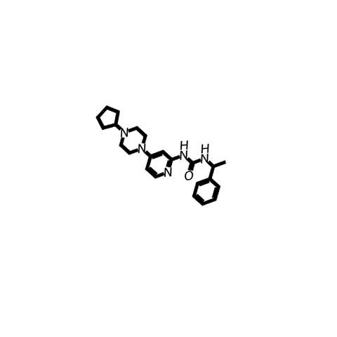 CC(NC(=O)Nc1cc(N2CCN(C3CCCC3)CC2)ccn1)c1ccccc1